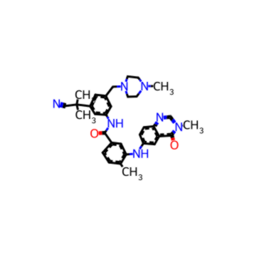 Cc1ccc(C(=O)Nc2cc(CN3CCN(C)CC3)cc(C(C)(C)C#N)c2)cc1Nc1ccc2ncn(C)c(=O)c2c1